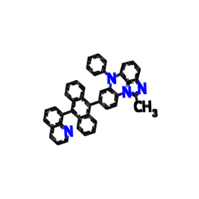 Cc1nc2cccc3c2n1-c1ccc(-c2c4ccccc4c(-c4cccc5cccnc45)c4ccccc24)cc1N3c1ccccc1